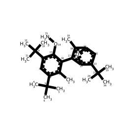 Cc1c(C(C)(C)C)cc(C(C)(C)C)c(ON)c1-c1c(C)c2cc(C(C)(C)C)c1o2